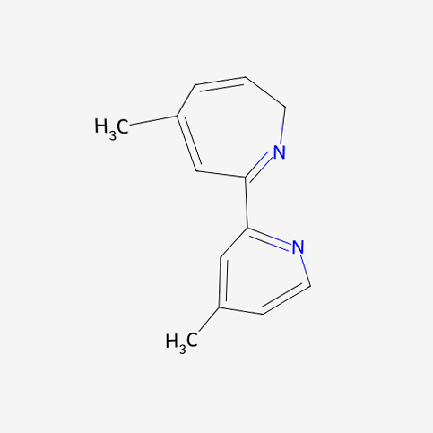 CC1=CC(c2cc(C)ccn2)=NCC=C1